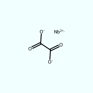 O=C([O-])C(=O)[O-].[Nb+2]